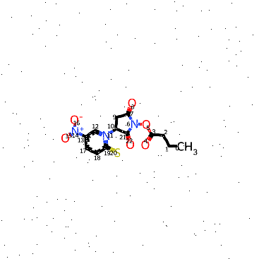 CCCC(=O)ON1C(=O)CC(n2cc([N+](=O)[O-])ccc2=S)C1=O